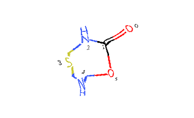 O=C1NSNO1